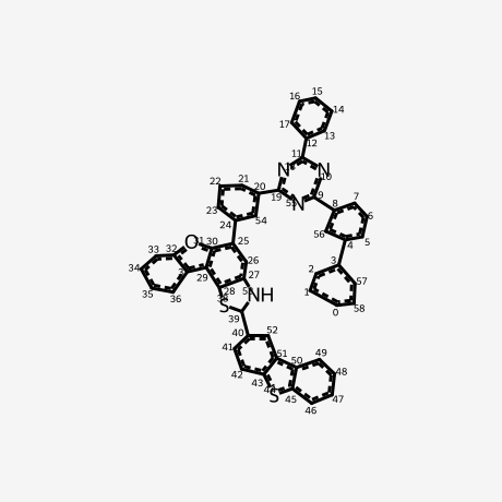 c1ccc(-c2cccc(-c3nc(-c4ccccc4)nc(-c4cccc(-c5cc6c(c7c5oc5ccccc57)SC(c5ccc7sc8ccccc8c7c5)N6)c4)n3)c2)cc1